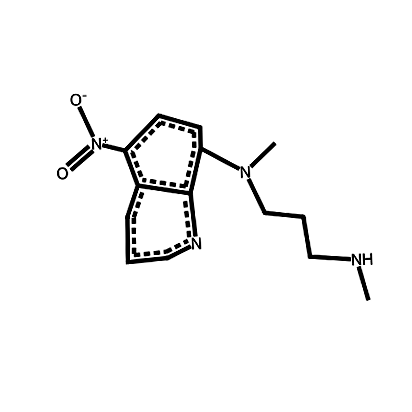 CNCCCN(C)c1ccc([N+](=O)[O-])c2cccnc12